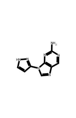 Nc1ncc2ncn(-c3cc[nH]n3)c2n1